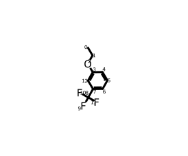 CCOc1c[c]cc(C(F)(F)F)c1